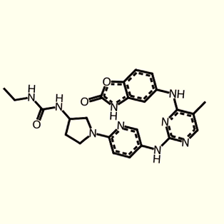 CCNC(=O)NC1CCN(c2ccc(Nc3ncc(C)c(Nc4ccc5oc(=O)[nH]c5c4)n3)cn2)C1